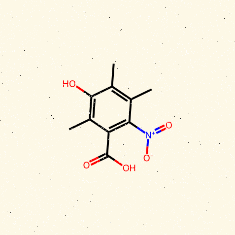 Cc1c(C)c([N+](=O)[O-])c(C(=O)O)c(C)c1O